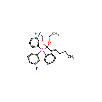 CCCC=CC(OCC)(OCC)[P+](c1ccccc1)(c1ccccc1)c1ccccc1.[I-]